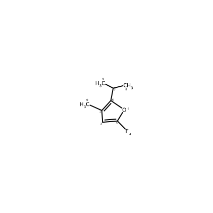 Cc1cc(F)oc1C(C)C